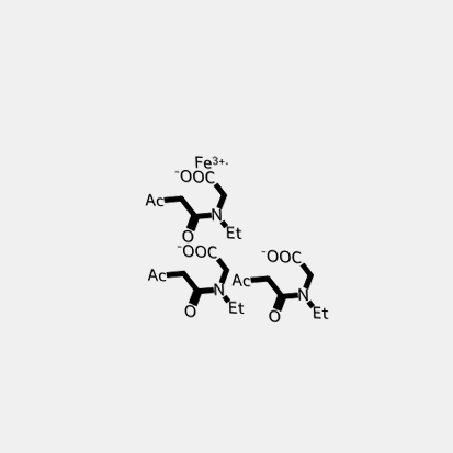 CCN(CC(=O)[O-])C(=O)CC(C)=O.CCN(CC(=O)[O-])C(=O)CC(C)=O.CCN(CC(=O)[O-])C(=O)CC(C)=O.[Fe+3]